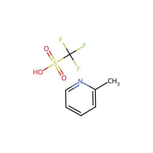 Cc1ccccn1.O=S(=O)(O)C(F)(F)F